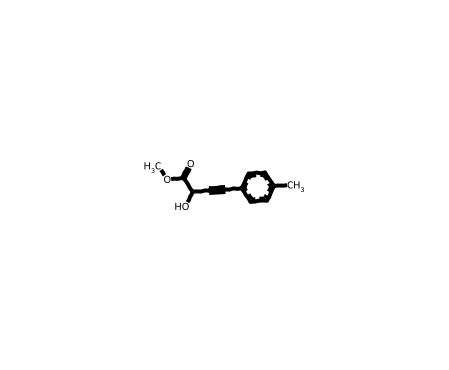 COC(=O)C(O)C#Cc1ccc(C)cc1